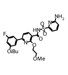 COCCOc1nc(-c2cc(F)cc(OCC(C)C)c2)ccc1C(=O)NS(=O)(=O)c1cccc(N)n1